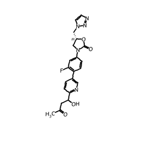 CC(=O)CC(O)c1ccc(-c2ccc(N3C[C@H](Cn4ccnn4)OC3=O)cc2F)cn1